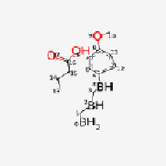 BCBCBc1ccc(OC)cc1.CCCC(=O)O